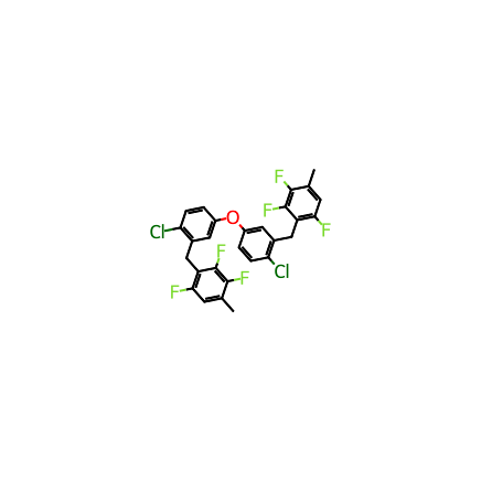 Cc1cc(F)c(Cc2cc(Oc3ccc(Cl)c(Cc4c(F)cc(C)c(F)c4F)c3)ccc2Cl)c(F)c1F